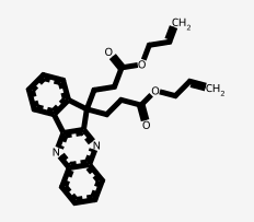 C=CCOC(=O)CCC1(CCC(=O)OCC=C)c2ccccc2-c2nc3ccccc3nc21